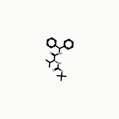 CC(C)[C@H](NC(=O)OC(C)(C)C)C(=O)NC(c1ccccc1)c1ccccc1